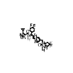 O=C(N[C@H](c1cn2ncc(CN3C(=O)N[C@@H]4CC(F)(F)CC43)cc2n1)C1CCC(F)(F)CC1)c1nonc1C1CC1